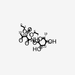 CCOP(=O)(OCC)C(C(C)=O)C(=O)NOC1O[C@H](C)[C@@H](O)C[C@@H]1O